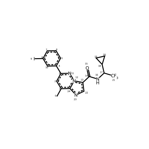 Cc1cc(-c2cccc(I)c2)nn2c(C(=O)NC(C3CC3)C(F)(F)F)cnc12